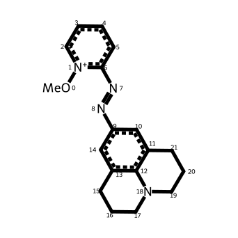 CO[n+]1ccccc1/N=N/c1cc2c3c(c1)CCCN3CCC2